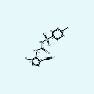 Cc1ccc(S(=O)(=O)NC(=O)Nc2c(C#N)ccn2C)cc1